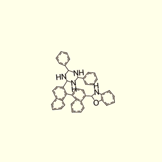 c1ccc(C2NC(c3ccccc3)NC(c3ccc4ccccc4c3-c3ccc(C4Nc5ccccc5O4)c4ccccc34)N2)cc1